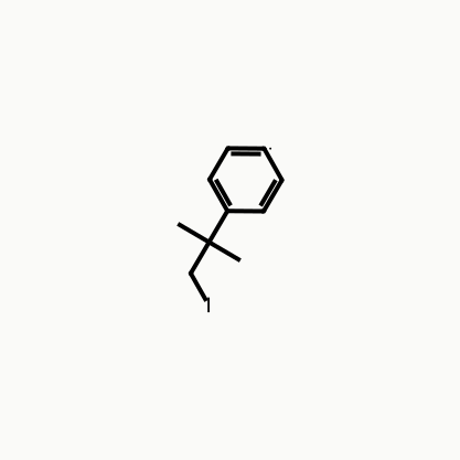 CC(C)(CI)c1cc[c]cc1